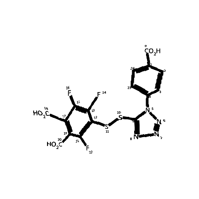 O=C(O)c1ccc(-n2nnnc2SSc2c(F)c(F)c(C(=O)O)c(C(=O)O)c2F)cc1